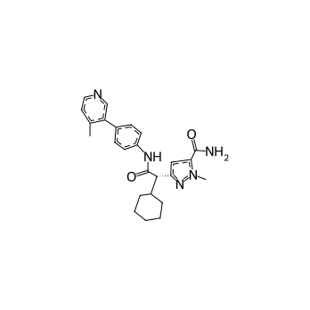 Cc1ccncc1-c1ccc(NC(=O)[C@H](c2cc(C(N)=O)n(C)n2)C2CCCCC2)cc1